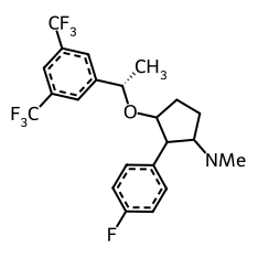 CNC1CCC(O[C@@H](C)c2cc(C(F)(F)F)cc(C(F)(F)F)c2)C1c1ccc(F)cc1